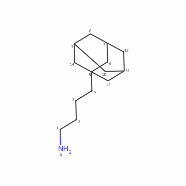 NCCCCC12CC3CC(CC(C3)C1)C2